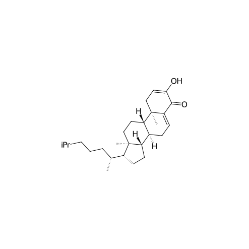 CC(C)CCC[C@@H](C)[C@H]1CC[C@H]2[C@@H]3CC=C4C(=O)C(O)=CC[C@]4(C)[C@H]3CC[C@]12C